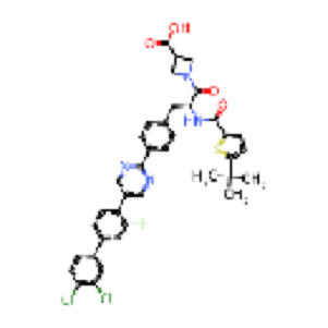 CC(C)(C)c1ccc(C(=O)N[C@@H](Cc2ccc(-c3ncc(-c4ccc(-c5ccc(Cl)c(Cl)c5)cc4F)cn3)cc2)C(=O)N2CC(C(=O)O)C2)s1